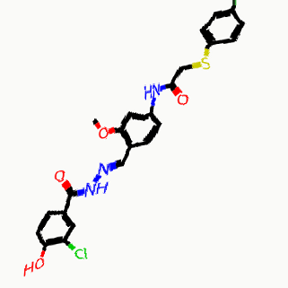 COc1cc(NC(=O)CSc2ccc(Cl)cc2)ccc1C=NNC(=O)c1ccc(O)c(Cl)c1